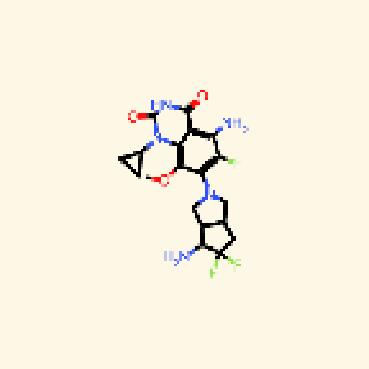 COc1c(N2CC3CC(F)(F)C(N)C3C2)c(F)c(N)c2c(=O)[nH]c(=O)n(C3CC3)c12